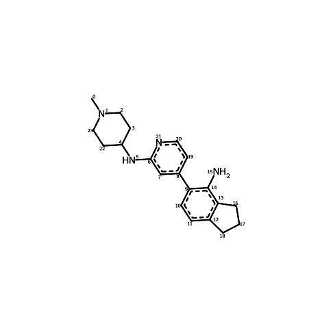 CN1CCC(Nc2cc(-c3ccc4c(c3N)CCC4)ccn2)CC1